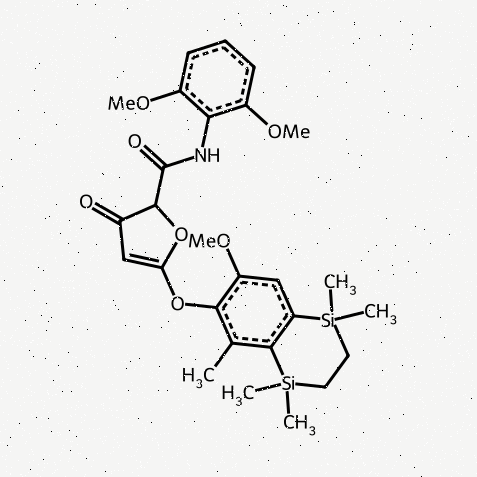 COc1cccc(OC)c1NC(=O)C1OC(Oc2c(OC)cc3c(c2C)[Si](C)(C)CC[Si]3(C)C)=CC1=O